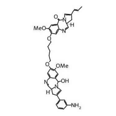 C/C=C/C1=CN2C(=O)c3cc(OC)c(OCCCCCOc4cc5c(cc4OC)C(O)N4C=C(c6cccc(N)c6)C[C@H]4C=N5)cc3N=C[C@@H]2C1